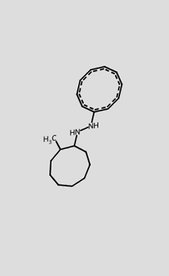 CC1CCCCCCCC1NNc1ccccccccc1